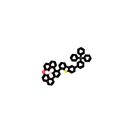 c1ccc(-c2ccc(-c3cccc4c3sc3ccc(-c5cccc([Si](c6ccccc6)(c6ccccc6)c6ccccc6)c5)cc34)c(-c3ccccc3)c2B2c3ccccc3Oc3ccccc32)cc1